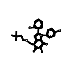 Cn1c(=O)c2c(nc(-c3ccccc3Cl)n2-c2ccc(Cl)cc2)n(COCC[Si](C)(C)C)c1=O